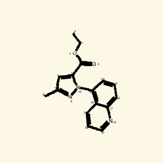 CCOC(=O)c1cc(C)nn1-c1cccc2ncccc12